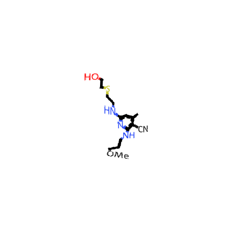 COCCCNc1nc(NCCSCCO)cc(C)c1C#N